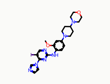 COc1cc(N2CCC(N3CCOCC3)CC2)ccc1Nc1ncc(I)c(-n2ccnc2)n1